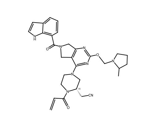 C=CC(=O)N1CCN(c2nc(OCN3CCCC3C)nc3c2CN(C(=O)c2cccc4cc[nH]c24)C3)C[C@@H]1CC#N